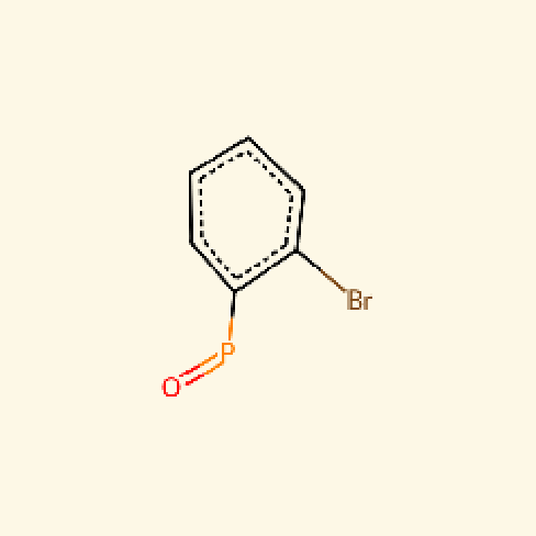 O=Pc1ccccc1Br